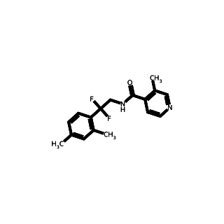 Cc1ccc(C(F)(F)CNC(=O)c2ccncc2C)c(C)c1